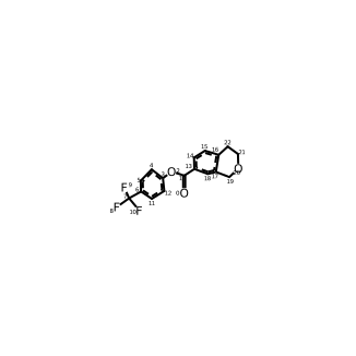 O=C(Oc1ccc(C(F)(F)F)cc1)c1ccc2c(c1)COCC2